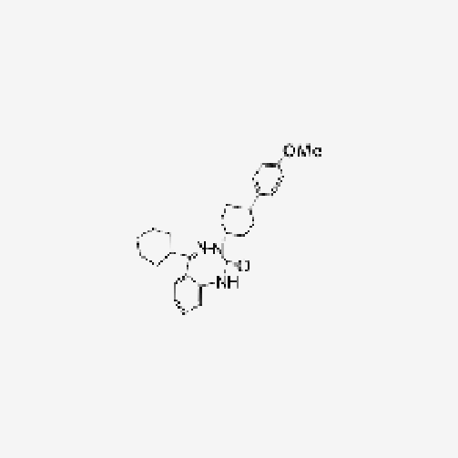 COc1ccc([C@H]2CC[C@@H](N3N=C(C4CCCCC4)c4ccccc4NC3=O)CC2)cc1